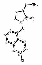 NC[C@@H]1CCN(Cc2cccc3nc(Cl)ccc23)C1=O